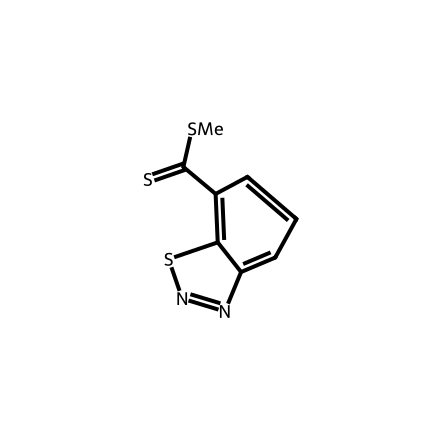 CSC(=S)c1cccc2nnsc12